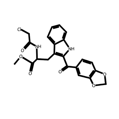 COC(=O)C(Cc1c(C(=O)c2ccc3c(c2)OCO3)[nH]c2ccccc12)NC(=O)CCl